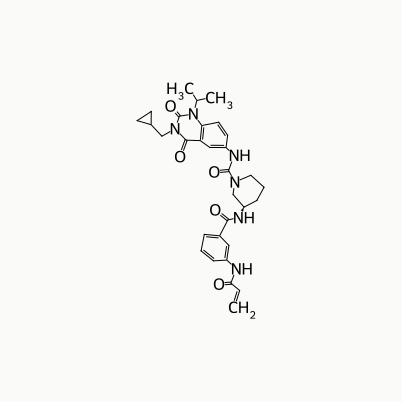 C=CC(=O)Nc1cccc(C(=O)N[C@@H]2CCCN(C(=O)Nc3ccc4c(c3)c(=O)n(CC3CC3)c(=O)n4C(C)C)C2)c1